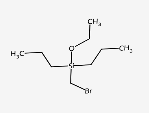 CCC[Si](CBr)(CCC)OCC